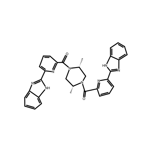 C[C@@H]1CN(C(=O)c2cccc(-c3nc4ccccc4[nH]3)n2)[C@H](C)CN1C(=O)c1cccc(-c2nc3ccccc3[nH]2)n1